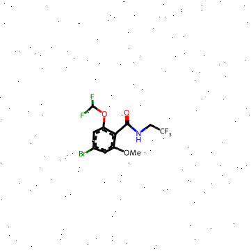 COc1cc(Br)cc(OC(F)F)c1C(=O)NCC(F)(F)F